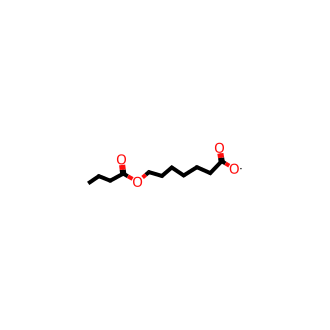 CCCC(=O)OCCCCCCC([O])=O